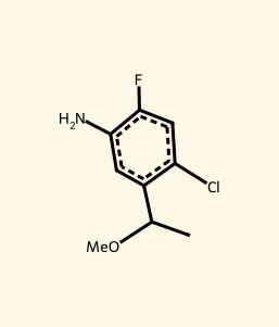 COC(C)c1cc(N)c(F)cc1Cl